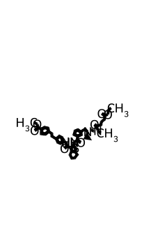 CCOC(=O)CCCC(=O)N(C)CCN(Cc1cccc(C(=O)Nc2sc3c(c2C(=O)Nc2ccc(CCc4ccc(C(=O)OC)cc4)cc2)CCCC3)c1)C1CC1